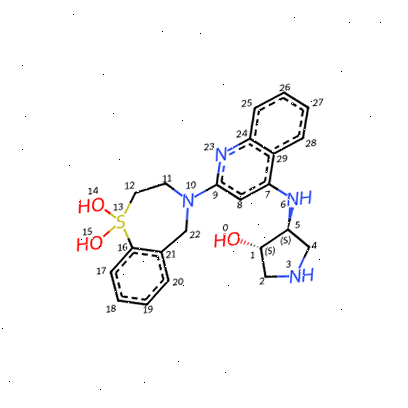 O[C@H]1CNC[C@@H]1Nc1cc(N2CCS(O)(O)c3ccccc3C2)nc2ccccc12